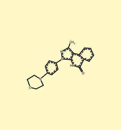 Cc1nn(-c2ccc(N3CCOCC3)cc2)c2[nH]c(=O)c3ccccc3c12